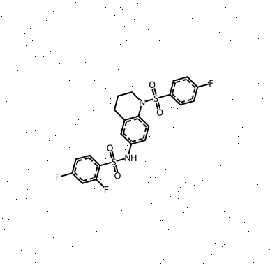 O=S(=O)(Nc1ccc2c(c1)CCCN2S(=O)(=O)c1ccc(F)cc1)c1ccc(F)cc1F